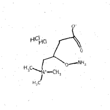 C[N+](C)(C)CC(CC(=O)[O-])ON.Cl.Cl